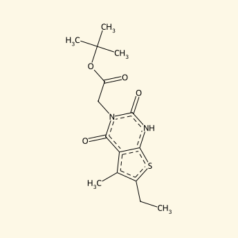 CCc1sc2[nH]c(=O)n(CC(=O)OC(C)(C)C)c(=O)c2c1C